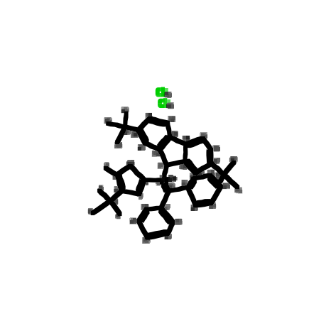 CC1=C(C(C)(C)C)C=[C]([Zr+2](=[C](c2ccccc2)c2ccccc2)[CH]2c3cc(C(C)(C)C)ccc3-c3ccc(C(C)(C)C)cc32)C1.[Cl-].[Cl-]